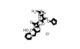 Nc1nc(/C(=N/OC2C=CCC2)C(=O)NC2C(=O)N3C(C(=O)O)=C(C[n+]4ccccc4)CS[C@H]23)ns1.[Cl-]